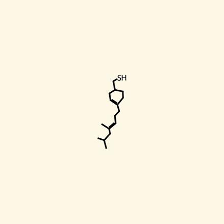 C/C(=C\CCC1=CCC(CS)CC1)CC(C)C